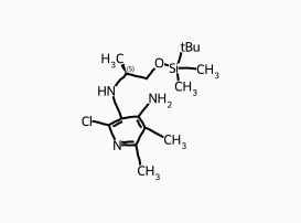 Cc1nc(Cl)c(N[C@@H](C)CO[Si](C)(C)C(C)(C)C)c(N)c1C